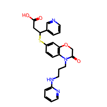 O=C(O)CC(Sc1ccc2c(c1)OCC(=O)N2CCCNc1ccccn1)c1cccnc1